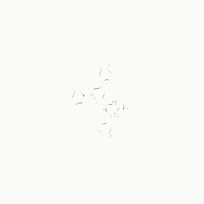 Nc1nc(-c2ccccc2)nc(-c2cc(-c3ccccc3)cc(-c3ccccc3)c2)n1